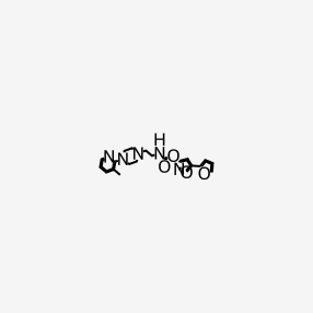 Cc1cccnc1N1CCN(CCNC(=O)Oc2cc(-c3ccco3)on2)CC1